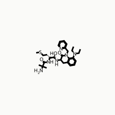 CCN(CC)c1cccc2c1N(Cc1ccccn1)C(=O)C(N[C@H](O)[C@@H](CCSC)NC(=O)C(C)(C)N)C2